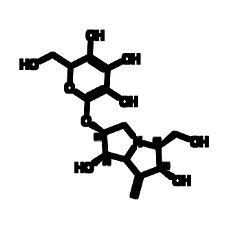 C=C1C2[C@@H](O)[C@@H](OC3=C(O)C(O)=C(O)C(CO)O3)CN2[C@@H](CO)[C@H]1O